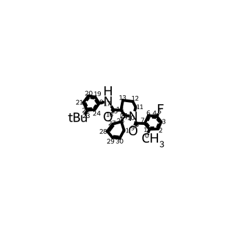 Cc1ccc(F)cc1C(=O)N1CCCC(C(=O)Nc2cccc(C(C)(C)C)c2)[C@@H]1C1C=CC=CC1